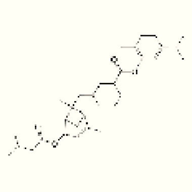 CC1=CC(OC(=O)CC(C)C)C2CC1C2(C)CC1CCCC(C(=O)Oc2cc(C(C)C)ccc2C)C1